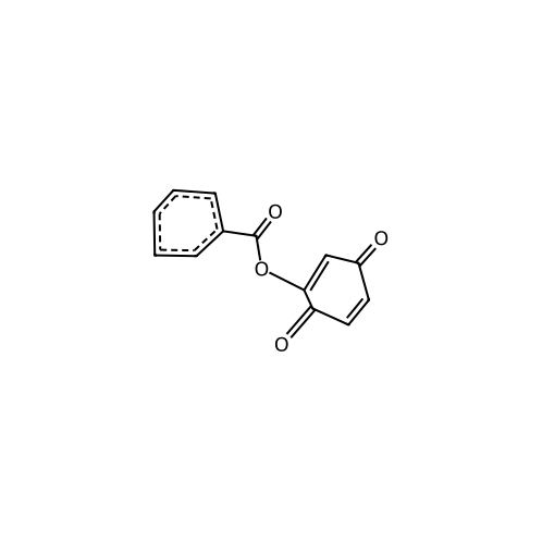 O=C1C=CC(=O)C(OC(=O)c2ccccc2)=C1